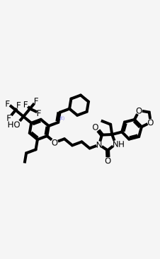 CCCc1cc(C(O)(C(F)(F)F)C(F)(F)F)cc(/C=C/C2CCCCC2)c1OCCCCN1C(=O)NC(CC)(c2ccc3c(c2)OCO3)C1=O